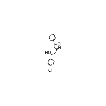 OC(Cc1[c]c(-c2ccccc2)on1)c1ccc(Cl)cc1